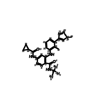 [2H]C([2H])([2H])NC(=O)c1nnc(NC(=O)C2CC2)cc1Nc1cccc(-c2cn(C)nn2)c1C